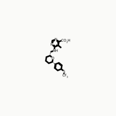 Cc1c(NC[C@H]2CCC[C@@H](C3=CCC(SC(F)(F)F)C=C3)O2)ncnc1C(=O)O